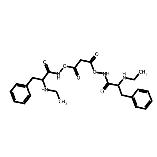 CCNC(Cc1ccccc1)C(=O)NOC(=O)CC(=O)ONC(=O)C(Cc1ccccc1)NCC